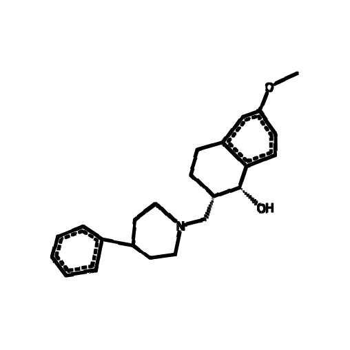 COc1ccc2c(c1)CC[C@@H](CN1CCC(c3ccccc3)CC1)[C@H]2O